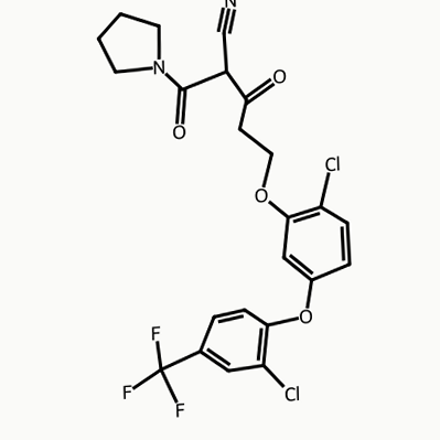 N#CC(C(=O)CCOc1cc(Oc2ccc(C(F)(F)F)cc2Cl)ccc1Cl)C(=O)N1CCCC1